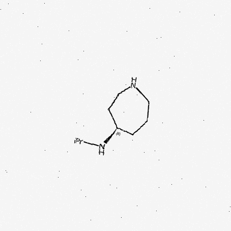 CC(C)N[C@@H]1CCCNCC1